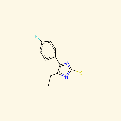 CCc1nc(S)[nH]c1-c1ccc(F)cc1